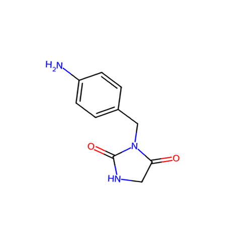 Nc1ccc(CN2C(=O)CNC2=O)cc1